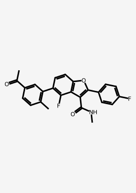 CNC(=O)c1c(-c2ccc(F)cc2)oc2ccc(-c3cc(C(C)=O)ccc3C)c(F)c12